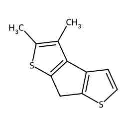 Cc1sc2c(c1C)-c1ccsc1C2